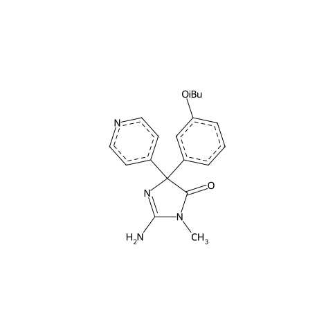 CC(C)COc1cccc(C2(c3ccncc3)N=C(N)N(C)C2=O)c1